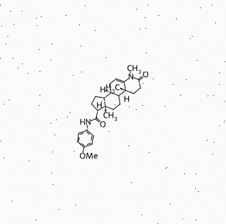 COc1ccc(NC(=O)[C@H]2CC[C@H]3[C@@H]4CC=C5N(C)C(=O)CC[C@]5(C)[C@H]4CC[C@]23C)cc1